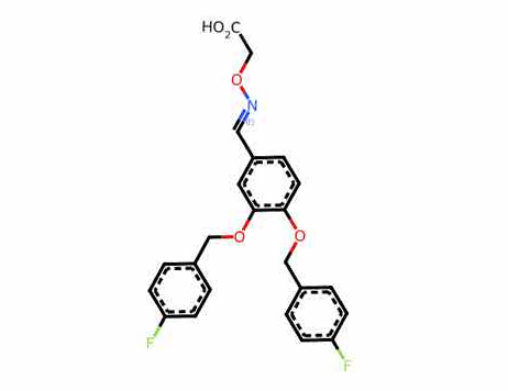 O=C(O)CO/N=C/c1ccc(OCc2ccc(F)cc2)c(OCc2ccc(F)cc2)c1